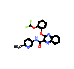 O=C(O)c1ccc(NC(=O)c2nc3ccccc3nc2Oc2ccccc2OC(F)F)cn1